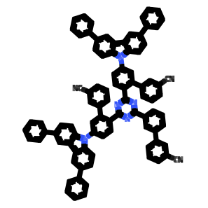 N#Cc1cccc(-c2cccc(-c3nc(-c4ccc(-n5c6ccc(-c7ccccc7)cc6c6cc(-c7ccccc7)ccc65)cc4-c4cccc(C#N)c4)nc(-c4ccc(-n5c6ccc(-c7ccccc7)cc6c6cc(-c7ccccc7)ccc65)cc4-c4cccc(C#N)c4)n3)c2)c1